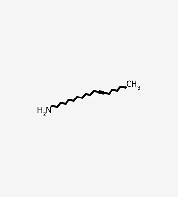 CCCCCCC#CCCCCCCCCCCCN